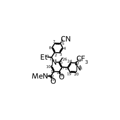 CCC(c1ccc(C#N)cc1)n1cc(C(=O)NC)c(=O)c(-c2ccnc(C(F)(F)F)c2)c1C